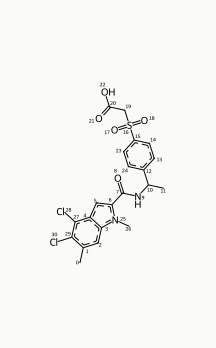 Cc1cc2c(cc(C(=O)NC(C)c3ccc(S(=O)(=O)CC(=O)O)cc3)n2C)c(Cl)c1Cl